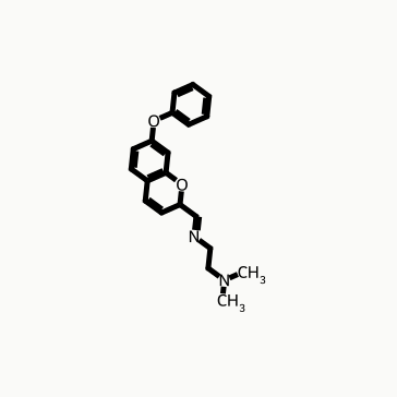 CN(C)CCN=CC1C=Cc2ccc(Oc3ccccc3)cc2O1